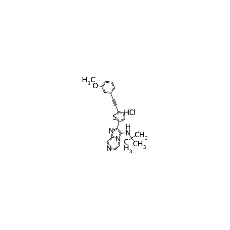 COc1cccc(C#Cc2ccc(-c3nc4cnccn4c3NC(C)(C)C)s2)c1.Cl